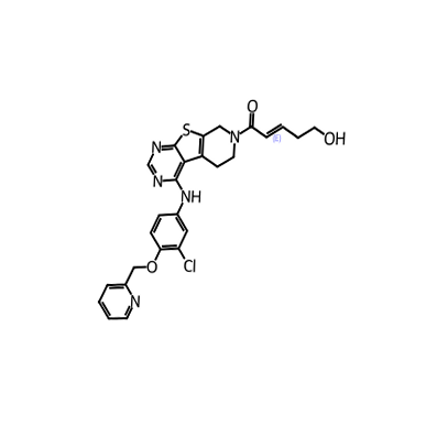 O=C(/C=C/CCO)N1CCc2c(sc3ncnc(Nc4ccc(OCc5ccccn5)c(Cl)c4)c23)C1